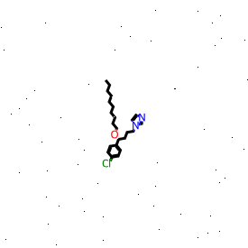 CCCCCCCCCCOC(CCCn1ccnc1)c1ccc(Cl)cc1